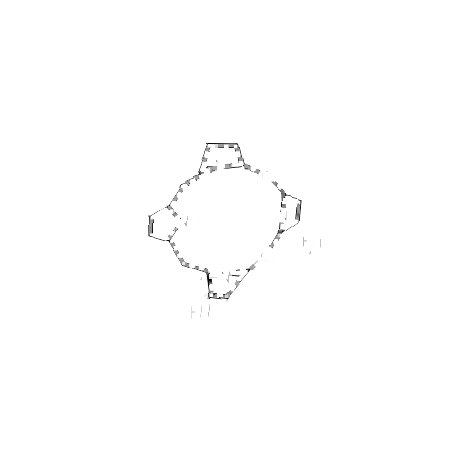 C1=Cc2cc3ccc(cc4nc(cc5ccc(cc1n2)[nH]5)C=C4)[nH]3.[KH].[KH]